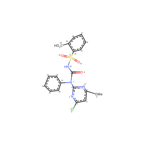 COc1cc(Cl)nc(N(C(=O)NS(=O)(=O)c2ccccc2C(=O)O)c2ccccc2)n1